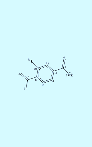 C=C(CC)c1ccc(C(=C)C)c(I)c1